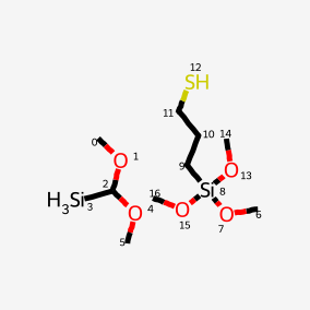 COC([SiH3])OC.CO[Si](CCCS)(OC)OC